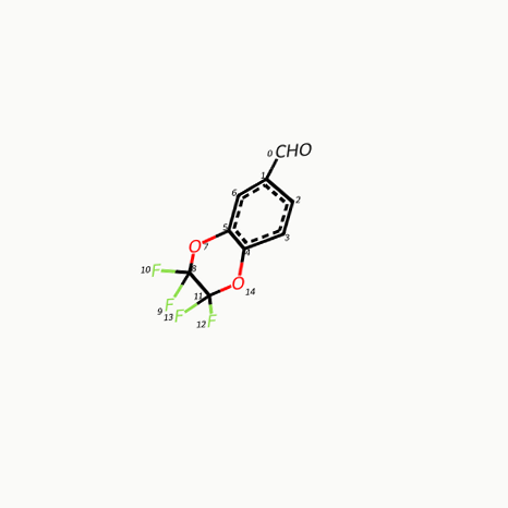 O=Cc1ccc2c(c1)OC(F)(F)C(F)(F)O2